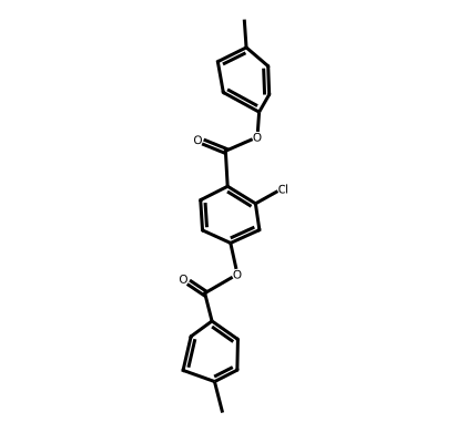 Cc1ccc(OC(=O)c2ccc(OC(=O)c3ccc(C)cc3)cc2Cl)cc1